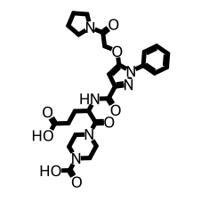 O=C(O)CCC(NC(=O)c1cc(OCC(=O)N2CCCC2)n(-c2ccccc2)n1)C(=O)N1CCN(C(=O)O)CC1